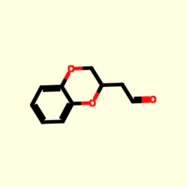 O=CCC1COc2ccccc2O1